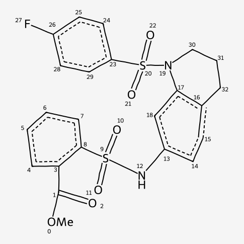 COC(=O)c1ccccc1S(=O)(=O)Nc1ccc2c(c1)N(S(=O)(=O)c1ccc(F)cc1)CCC2